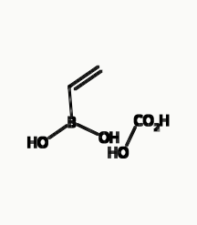 C=CB(O)O.O=C(O)O